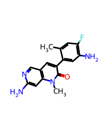 Cc1cc(F)c(N)cc1-c1cc2cnc(N)cc2n(C)c1=O